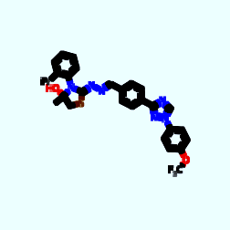 CC(C)c1ccccc1N1C(=NN=Cc2ccc(-c3ncn(-c4ccc(OC(F)(F)F)cc4)n3)cc2)SCC1(C)O